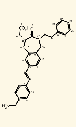 NCc1ccc(/C=C/c2ccc3c(c2)N[C@H](CC(=O)O)C(=O)N(CCc2ccccc2)C3)cc1